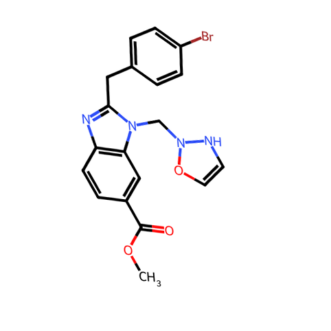 COC(=O)c1ccc2nc(Cc3ccc(Br)cc3)n(CN3NC=CO3)c2c1